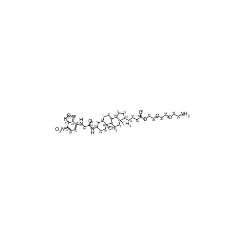 CC12CCC3C(CCC4C[C@H](NC(=O)CNc5ccc([N+](=O)[O-])c6nonc56)CCC43C)C1CCC2CCCC(=O)OCCOCCOCCN